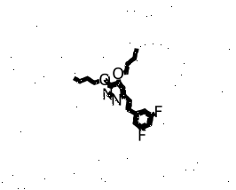 CCCCOc1cc(/C=C/c2cc(F)cc(F)c2)nnc1OCCCC